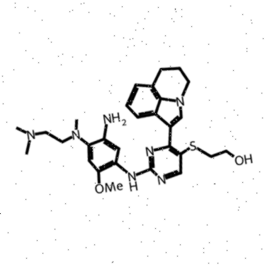 COc1cc(N(C)CCN(C)C)c(N)cc1Nc1ncc(SCCO)c(-c2cn3c4c(cccc24)CCC3)n1